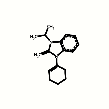 C=C1N(C2=CCCCC2)c2ccccc2N1C(C)C